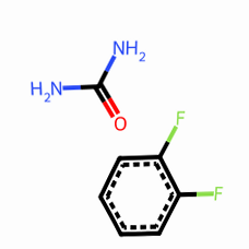 Fc1ccccc1F.NC(N)=O